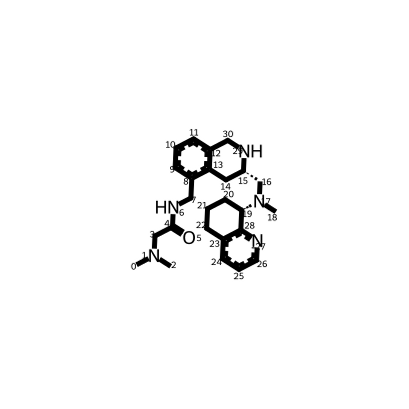 CN(C)CC(=O)NCc1cccc2c1C[C@@H](CN(C)[C@H]1CCCc3cccnc31)NC2